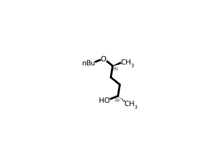 CCCCO[C@@H](C)CC[C@H](C)O